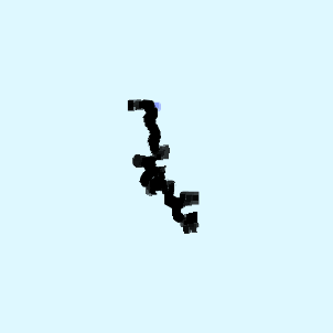 CC/C=C\CCCNC(=O)c1cnc(OCC(O)CNC(C)C)s1